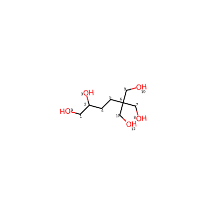 OCC(O)CCC(CO)(CO)CO